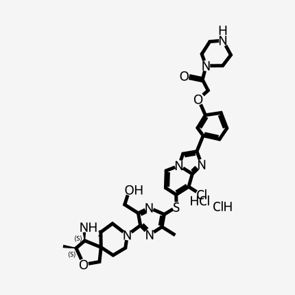 Cc1nc(N2CCC3(CC2)CO[C@@H](C)[C@H]3N)c(CO)nc1Sc1ccn2cc(-c3cccc(OCC(=O)N4CCNCC4)c3)nc2c1Cl.Cl.Cl